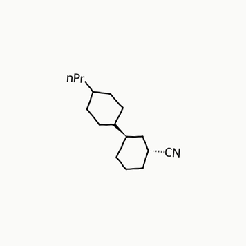 CCCC1CCC([C@@H]2CCC[C@@H](C#N)C2)CC1